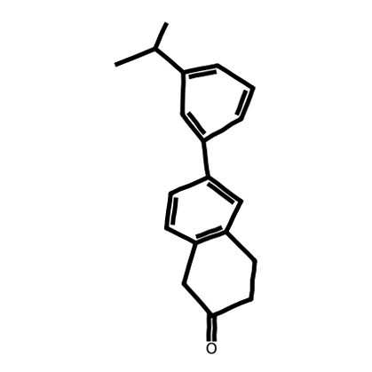 CC(C)c1cccc(-c2ccc3c(c2)CCC(=O)C3)c1